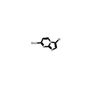 COc1ccn2c(Br)cnc2n1